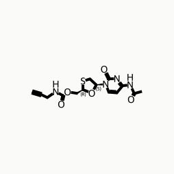 C#CCNC(=O)OC[C@@H]1O[C@H](n2ccc(NC(C)=O)nc2=O)CS1